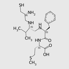 CSCC[C@H](NC(=O)[C@H](Cc1ccccc1)NC[C@@H](NC[C@@H](N)CS)C(C)C)C(=O)O